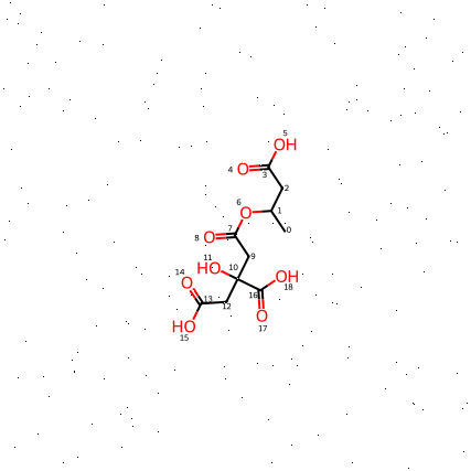 CC(CC(=O)O)OC(=O)CC(O)(CC(=O)O)C(=O)O